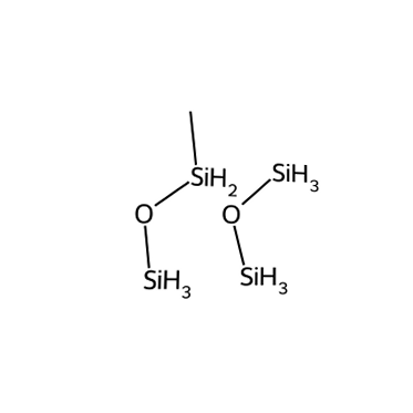 C[SiH2]O[SiH3].[SiH3]O[SiH3]